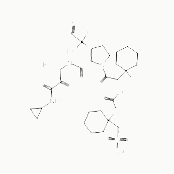 C=CC(C)(C)[C@H]1CCN(C(=O)[C@@H](NC(=O)NC2(CS(=O)(=O)C(C)(C)C)CCCCC2)C2(C)CCCCC2)[C@@H]1C(=O)N[C@@H](CCCC)C(=O)C(=O)NC1CC1